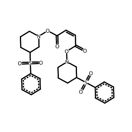 O=C(/C=C\C(=O)ON1CCCC(S(=O)(=O)c2ccccc2)C1)ON1CCCC(S(=O)(=O)c2ccccc2)C1